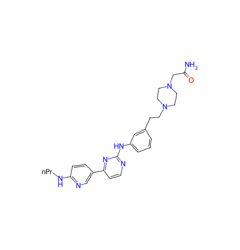 CCCNc1ccc(-c2ccnc(Nc3cccc(CCN4CCN(CC(N)=O)CC4)c3)n2)cn1